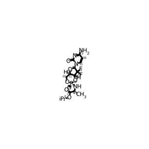 CC(C)OC(=O)[C@@H](C)NP1(=O)OC[C@H]2O[C@@H](n3ccc(N)nc3=O)C(F)(F)[C@@H]2O1